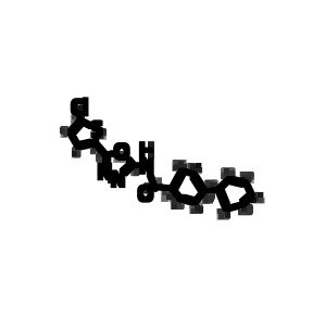 O=C(Nc1nnc(-c2ccc(Cl)s2)o1)c1ccc(-c2ccccc2)cc1